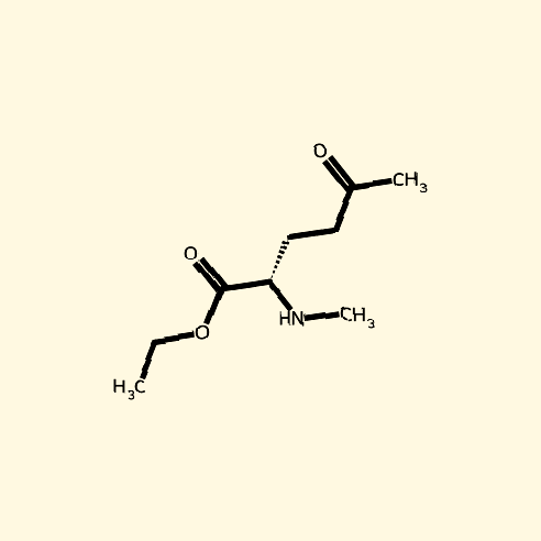 CCOC(=O)[C@H](CCC(C)=O)NC